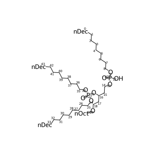 CCCCCCCCCCCCCCCCCCOP(=O)(O)OCCC(CCOCCCCCCCC)OP(=O)(OCCCCCCCCCCCCCCCCCC)OCCCCCCCCCCCCCCCCCC